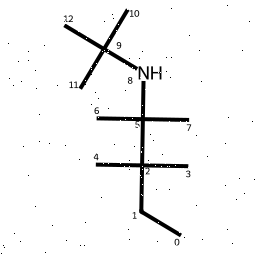 CCC(C)(C)C(C)(C)NC(C)(C)C